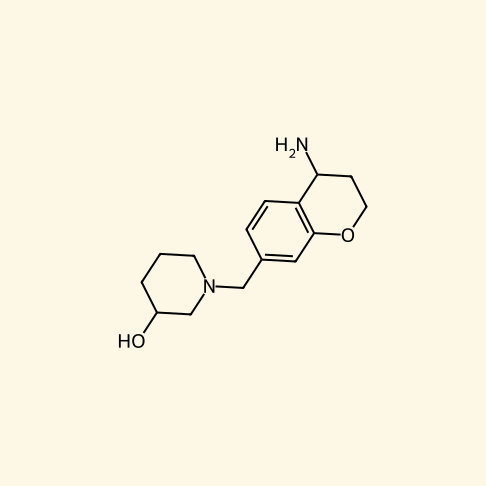 NC1CCOc2cc(CN3CCCC(O)C3)ccc21